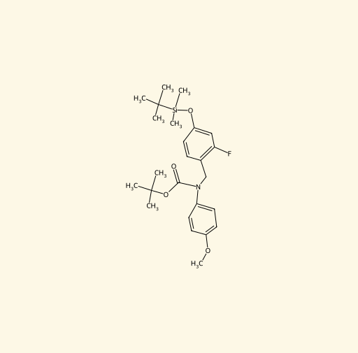 COc1ccc(N(Cc2ccc(O[Si](C)(C)C(C)(C)C)cc2F)C(=O)OC(C)(C)C)cc1